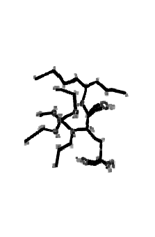 CCCCC(CCC)OC(=O)C(CC(=O)O)N(CCC)[Si](OC)(OCC)OCC